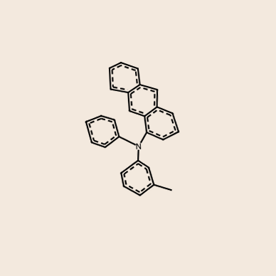 Cc1cccc(N(c2ccccc2)c2cccc3cc4ccccc4cc23)c1